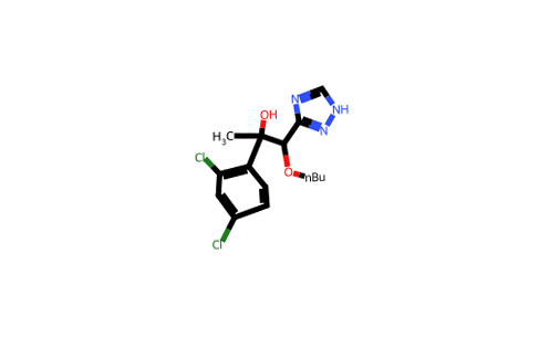 CCCCOC(c1nc[nH]n1)C(C)(O)c1ccc(Cl)cc1Cl